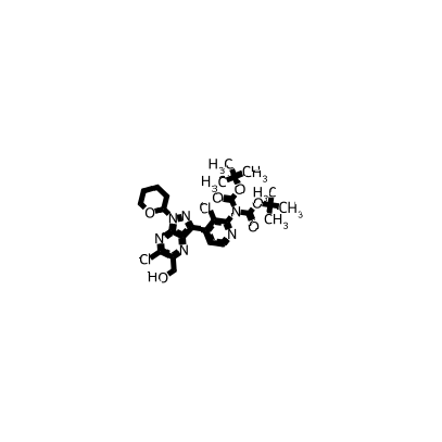 CC(C)(C)OC(=O)N(C(=O)OC(C)(C)C)c1nccc(-c2nn(C3CCCCO3)c3nc(Cl)c(CO)nc23)c1Cl